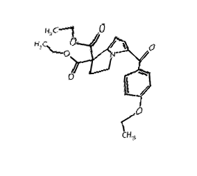 CCOC(=O)C1(C(=O)OCC)CCn2c(C(=O)c3ccc(OCC)cc3)ccc21